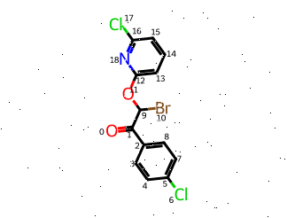 O=C(c1ccc(Cl)cc1)C(Br)Oc1cccc(Cl)n1